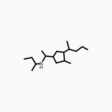 CCCC(C)C1CC(C(C)NC(C)CC)CC1C